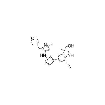 Cc1cc(Nc2nccc(-c3cc(C#N)c4c(c3)C(C)(CO)CN4)n2)n(CC2CCOCC2)n1